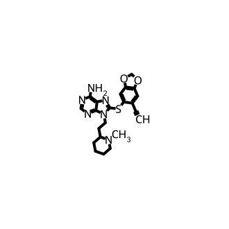 C#Cc1cc2c(cc1Sc1nc3c(N)ncnc3n1CCC1CCCCN1C)OCO2